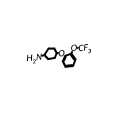 NC1CCC(Oc2ccccc2OC(F)(F)F)CC1